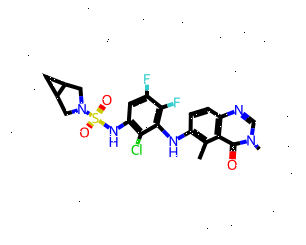 Cc1c(Nc2c(F)c(F)cc(NS(=O)(=O)N3CC4CC4C3)c2Cl)ccc2ncn(C)c(=O)c12